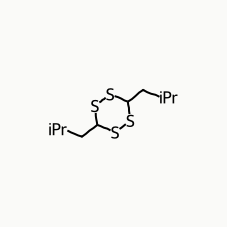 CC(C)CC1SSC(CC(C)C)SS1